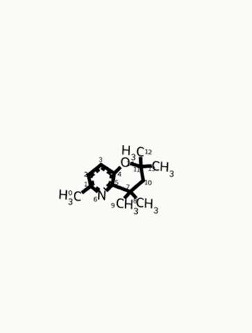 Cc1ccc2c(n1)C(C)(C)CC(C)(C)O2